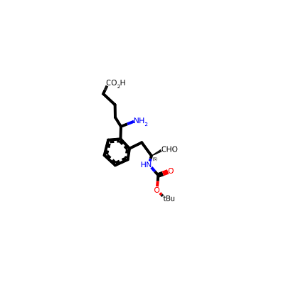 CC(C)(C)OC(=O)N[C@H](C=O)Cc1ccccc1C(N)CCCC(=O)O